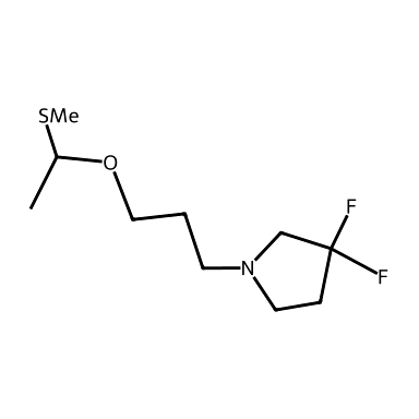 CSC(C)OCCCN1CCC(F)(F)C1